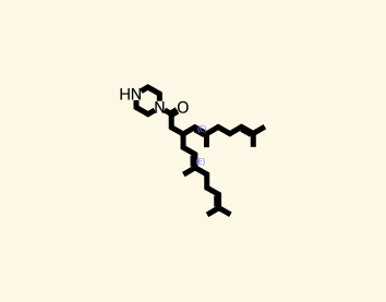 CC(C)=CCC/C(C)=C/CC(/C=C(\C)CCC=C(C)C)CC(=O)N1CCNCC1